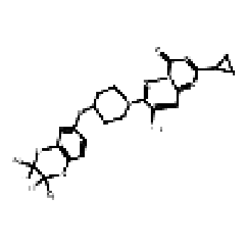 [2H]C1([2H])Oc2ccc(OC3CCN(c4nn5c(=O)cc(C6CC6)nc5cc4C)CC3)cc2OC1([2H])[2H]